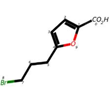 O=C(O)c1ccc(CCCBr)o1